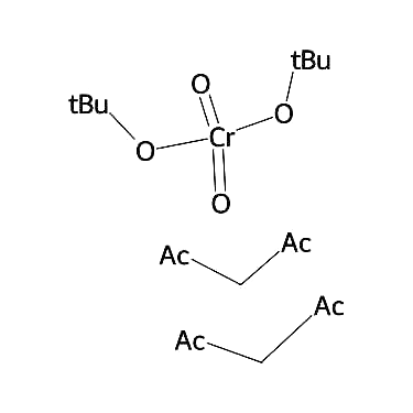 CC(=O)CC(C)=O.CC(=O)CC(C)=O.CC(C)(C)[O][Cr](=[O])(=[O])[O]C(C)(C)C